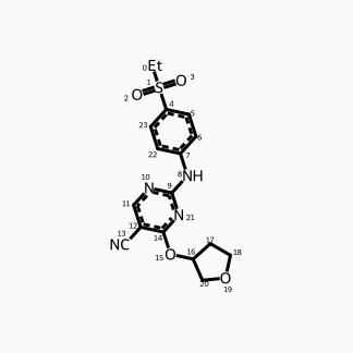 CCS(=O)(=O)c1ccc(Nc2ncc(C#N)c(OC3CCOC3)n2)cc1